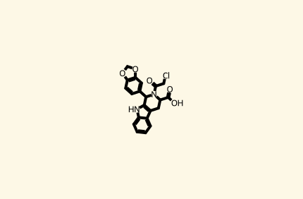 O=C(O)C1Cc2c([nH]c3ccccc23)C(c2ccc3c(c2)OCO3)N1C(=O)CCl